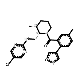 Cc1ccc(-c2cnoc2)c(C(=O)N2CCC[C@@H](C)[C@H]2CNc2ncc(Cl)cn2)c1